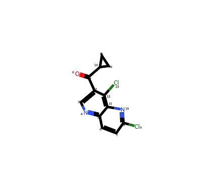 O=C(c1cnc2ccc(Cl)nc2c1Cl)C1CC1